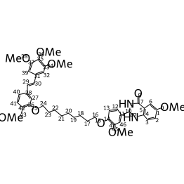 COc1ccc2c(c1)C(=O)NC(c1ccc(OCCCCCCCCCOc3cc(C=Cc4cc(OC)c(OC)c(OC)c4)ccc3OC)c(OC)c1)N2